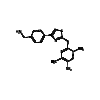 Cc1cc(N)c(C)nc1Cc1nc(-c2ccc(CN)cc2)cs1